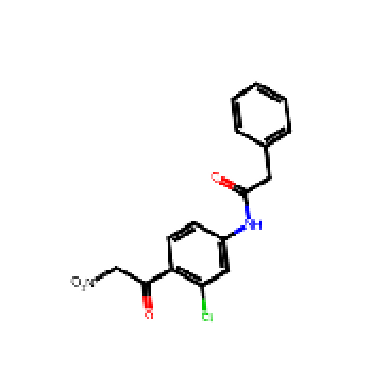 O=C(Cc1ccccc1)Nc1ccc(C(=O)C[N+](=O)[O-])c(Cl)c1